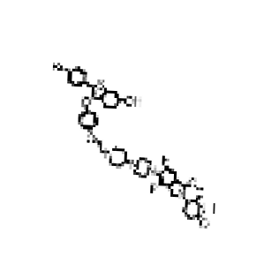 O=C1CCC(N2Cc3c(cc(F)c(N4CCN(C5CCN(CCOc6ccc(Oc7c(-c8ccc(Br)cc8)sc8cc(O)ccc78)cc6)CC5)CC4)c3F)C2=O)C(=O)N1